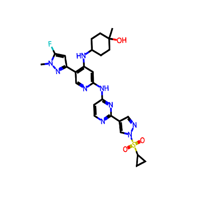 Cn1nc(-c2cnc(Nc3ccnc(-c4cnn(S(=O)(=O)C5CC5)c4)n3)cc2NC2CCC(C)(O)CC2)cc1F